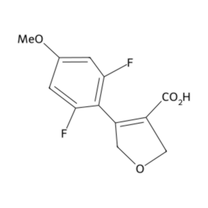 COc1cc(F)c(C2=C(C(=O)O)COC2)c(F)c1